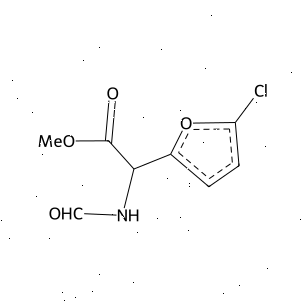 COC(=O)C(NC=O)c1ccc(Cl)o1